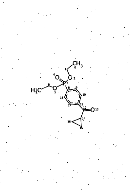 CCOP(=O)(OCC)c1ccc(C(=O)C2CC2)cc1